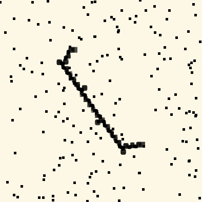 O=C(CSCSCSCSCC[S+]([O-])CSCSCSCSCSC(=O)CSCSCSCSCC(=O)OCSCO)OCSCO